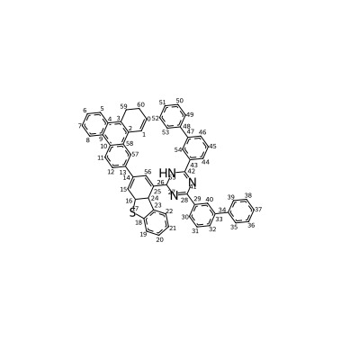 C1=Cc2c(c3ccccc3c3ccc(C4=CC5Sc6ccccc6C5C(C5N=C(c6cccc(-c7ccccc7)c6)N=C(c6cccc(-c7ccccc7)c6)N5)=C4)cc23)CC1